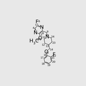 COc1ncc(F)nc1CN1CCC(COc2ccccc2F)CC1